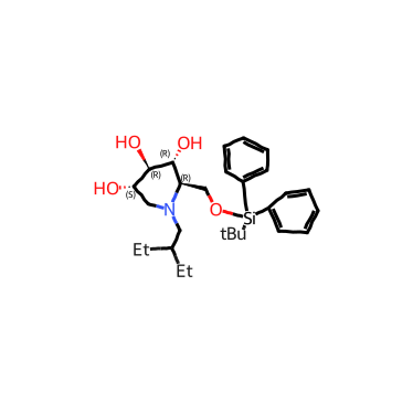 CCC(CC)CN1C[C@H](O)[C@@H](O)[C@H](O)[C@H]1CO[Si](c1ccccc1)(c1ccccc1)C(C)(C)C